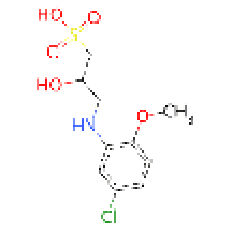 COc1ccc(Cl)cc1NCC(O)CS(=O)(=O)O